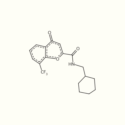 O=C(NCC1CCCCC1)c1cc(=O)c2cccc(C(F)(F)F)c2o1